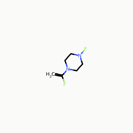 C=C(F)N1CCN(F)CC1